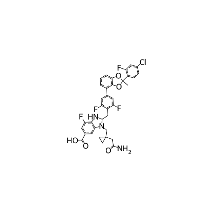 CC1(c2ccc(Cl)cc2F)Oc2cccc(-c3cc(F)c(CC4Nc5c(F)cc(C(=O)O)cc5N4CC4(CC(N)=O)CC4)c(F)c3)c2O1